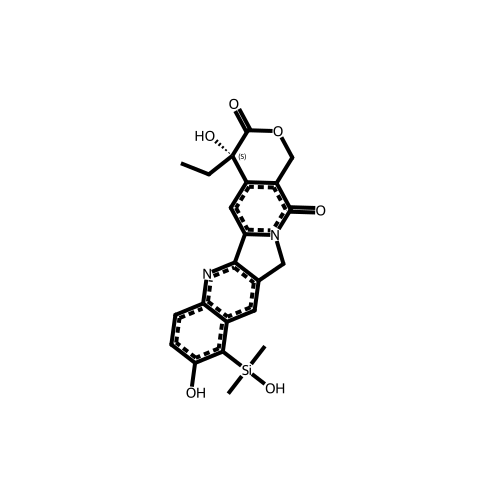 CC[C@@]1(O)C(=O)OCc2c1cc1n(c2=O)Cc2cc3c([Si](C)(C)O)c(O)ccc3nc2-1